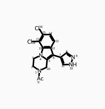 CC(=O)N1CCn2c(c(-c3cn[nH]c3)c3ccc(Cl)c(Cl)c32)C1